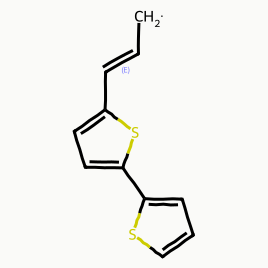 [CH2]/C=C/c1ccc(-c2cccs2)s1